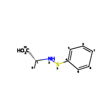 C[C@@H](NSc1ccccc1)C(=O)O